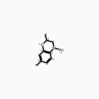 CC(=O)N1CC(C)Oc2cc(C)ccc21